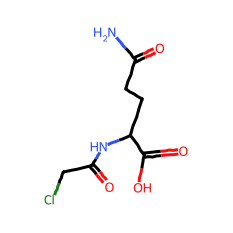 NC(=O)CCC(NC(=O)CCl)C(=O)O